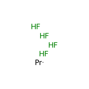 F.F.F.F.[Pr]